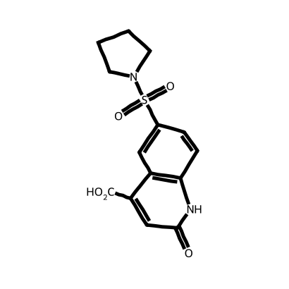 O=C(O)c1cc(=O)[nH]c2ccc(S(=O)(=O)N3CCCC3)cc12